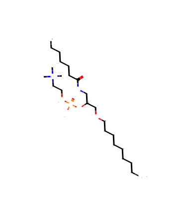 CCCCCCCCCCCCCCCCCCOCC(CNC(=O)CCCCCCCCCCCCCCC)OP(=O)([O-])OCC[N+](C)(C)C